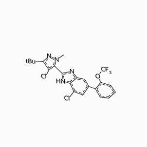 Cn1nc(C(C)(C)C)c(Cl)c1-c1nc2cc(-c3ccccc3OC(F)(F)F)cc(Cl)c2[nH]1